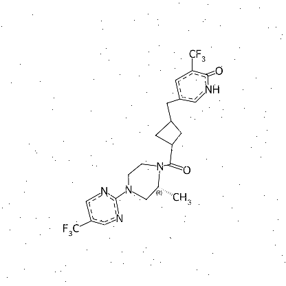 C[C@@H]1CN(c2ncc(C(F)(F)F)cn2)CCN1C(=O)C1CC(Cc2c[nH]c(=O)c(C(F)(F)F)c2)C1